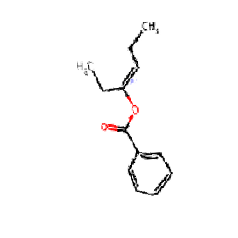 CC/C=C(\CC)OC(=O)c1ccccc1